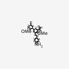 COc1ncc(F)cc1-c1cc(/C=C/c2ccc(N)cc2)c(OC)c(C2(C)CC2)c1